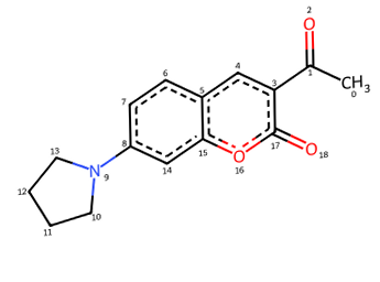 CC(=O)c1cc2ccc(N3CCCC3)cc2oc1=O